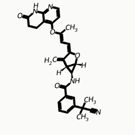 C=C1/C(=C\C=C(/C)Oc2ccnc3c2CCC(=O)N3)O[C@@H]2[C@@H](NC(=O)c3cccc(C(C)(C)C#N)c3)[C@H]12